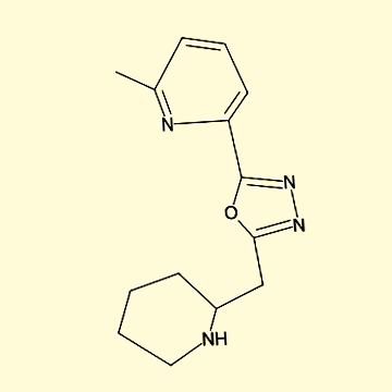 Cc1cccc(-c2nnc(CC3CCCCN3)o2)n1